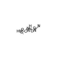 Cc1cc[nH]c(=O)c1-c1ccc2nc(Nc3cccc(N(C)C(=O)/C=C/CN(C)C)c3)ncc2c1